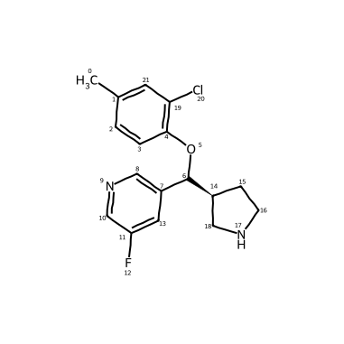 Cc1ccc(OC(c2cncc(F)c2)[C@H]2CCNC2)c(Cl)c1